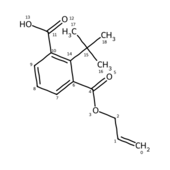 C=CCOC(=O)c1cccc(C(=O)O)c1C(C)(C)C